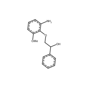 COc1cccc(N)c1OCC(O)c1ccccc1